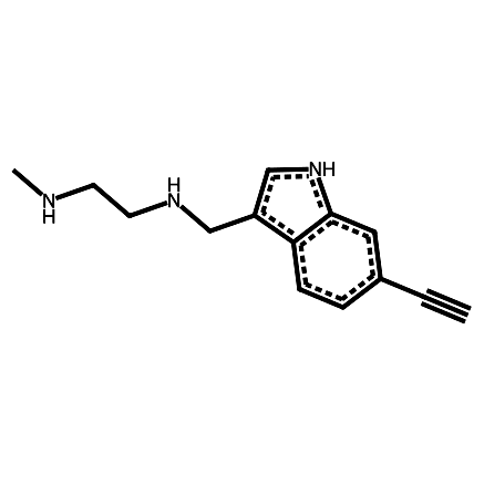 C#Cc1ccc2c(CNCCNC)c[nH]c2c1